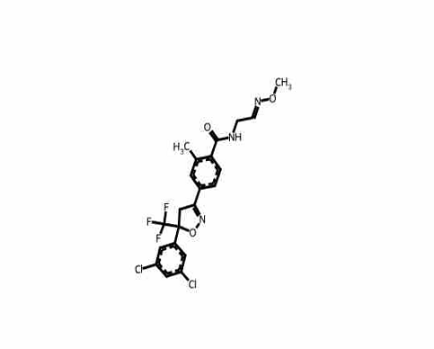 CON=CCNC(=O)c1ccc(C2=NOC(c3cc(Cl)cc(Cl)c3)(C(F)(F)F)C2)cc1C